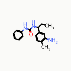 CCC(NC(=O)Nc1ccccc1)c1ccc(C)c(N)c1